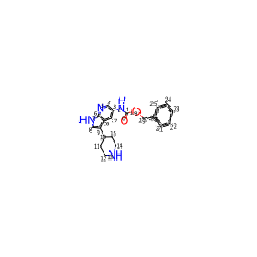 O=C(Nc1cnc2[nH]cc(C3CCNCC3)c2c1)OCc1ccccc1